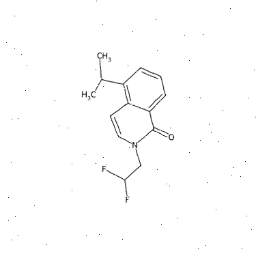 CC(C)c1cccc2c(=O)n(CC(F)F)ccc12